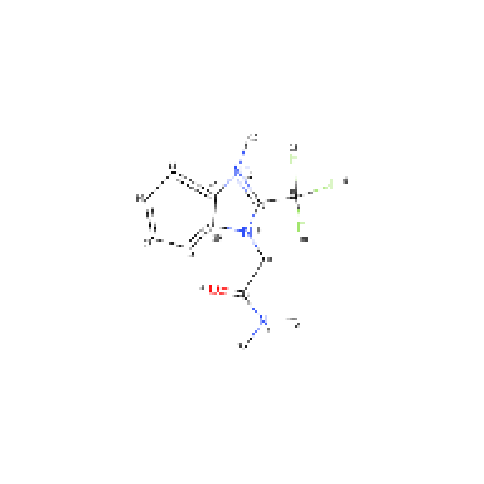 CN(C)C(=O)Cn1c(C(F)(F)F)[n+](C)c2ccccc21